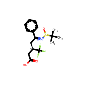 CC(C)(C)[S+]([O-])/N=C(/C[C@H](CC(=O)O)C(F)(F)F)c1ccccc1